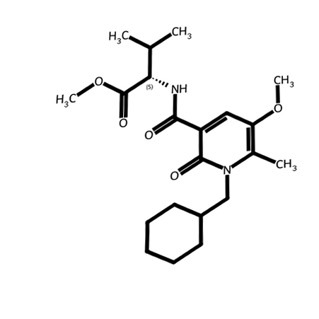 COC(=O)[C@@H](NC(=O)c1cc(OC)c(C)n(CC2CCCCC2)c1=O)C(C)C